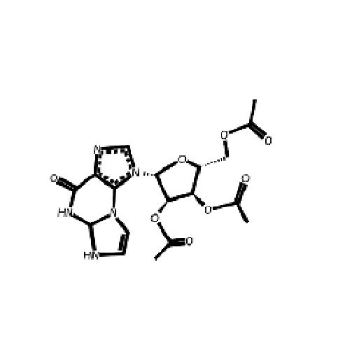 CC(=O)OC[C@H]1O[C@@H](n2cnc3c2N2C=CNC2NC3=O)[C@H](OC(C)=O)[C@@H]1OC(C)=O